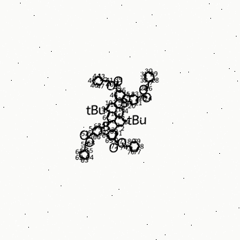 CC(C)(C)c1cc2c3c(cc4c(C(C)(C)C)cc5c6c(cc1c3c46)B1c3ccc(C(=O)OCc4ccccc4)cc3-c3cc(C(=O)OCc4ccccc4)cc-5c31)B1c3ccc(C(=O)OCc4ccccc4)cc3-c3cc(C(=O)OCc4ccccc4)cc-2c31